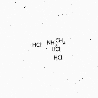 C.Cl.Cl.Cl.N